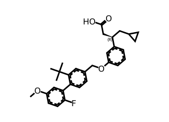 COc1ccc(F)c(-c2ccc(COc3cccc([C@@H](CC(=O)O)CC4CC4)c3)cc2C(C)(C)C)c1